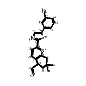 CC1(C)Cc2nc(-c3ncc(-c4cccc(Br)c4)s3)ccc2C(C=O)C1